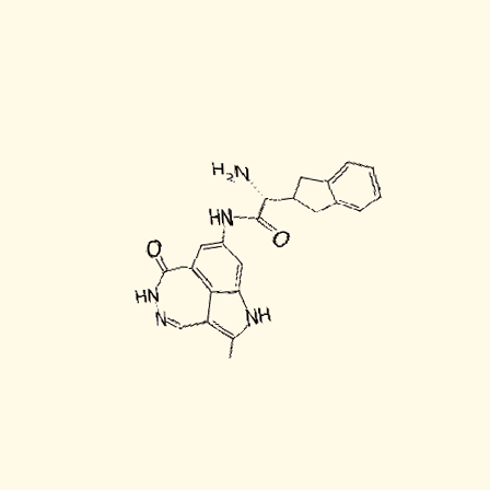 Cc1[nH]c2cc(NC(=O)[C@H](N)C3Cc4ccccc4C3)cc3c2c1C=NNC3=O